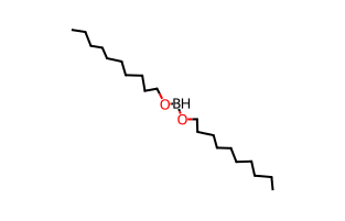 CCCCCCCCCCOBOCCCCCCCCCC